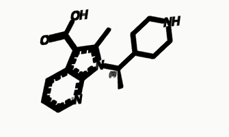 Cc1c(C(=O)O)c2cccnc2n1[C@H](C)C1CCNCC1